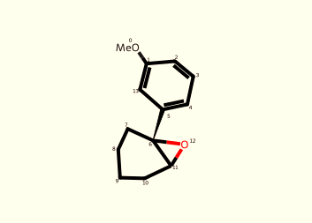 COc1cccc([C@]23CCCCC2O3)c1